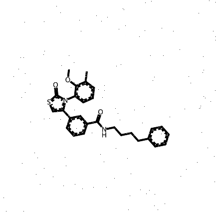 COc1c(C)cccc1-n1c(-c2cccc(C(=O)NCCCCc3ccccc3)c2)csc1=O